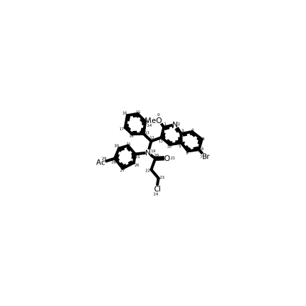 COc1nc2ccc(Br)cc2cc1C(c1ccccc1)N(C(=O)CCCl)c1ccc(C(C)=O)cc1